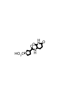 O=C1CCC(NC(=O)C2CCN(C(=O)O)C2)C(=O)N1